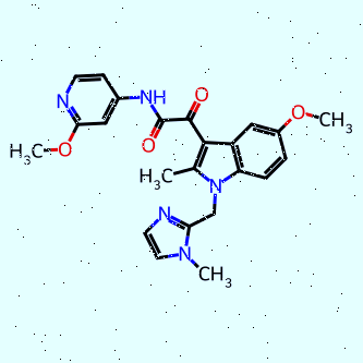 COc1ccc2c(c1)c(C(=O)C(=O)Nc1ccnc(OC)c1)c(C)n2Cc1nccn1C